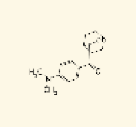 CN(C)c1ccc(C(=O)C2CN3CCC2CC3)cc1